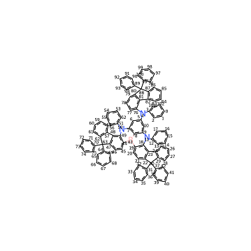 c1ccc(N(c2cc3c4c(c2)N(c2ccccc2)c2c(ccc5c2-c2ccccc2C5(c2ccccc2)c2ccccc2)B4c2ccc4c(c2N3c2ccccc2)-c2ccccc2C4(c2ccccc2)c2ccccc2)c2cccc3c2-c2ccccc2C3(c2ccccc2)c2ccccc2)cc1